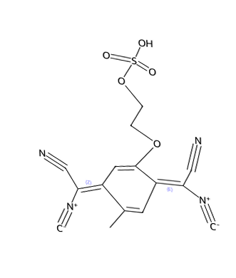 [C-]#[N+]/C(C#N)=c1/cc(OCCOS(=O)(=O)O)/c(=C(\C#N)[N+]#[C-])cc1C